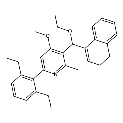 CCOC(C1=CCCc2ccccc21)c1c(OC)cc(-c2c(CC)cccc2CC)nc1C